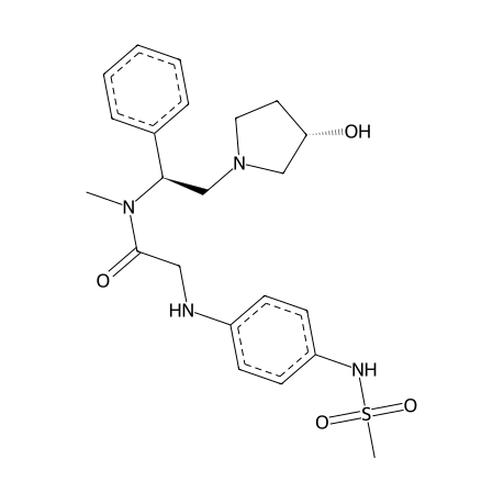 CN(C(=O)CNc1ccc(NS(C)(=O)=O)cc1)[C@H](CN1CC[C@H](O)C1)c1ccccc1